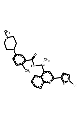 CCn1ccc(-c2cc([C@@H](C)NC(=O)c3cc(N4CCN(C)CC4)ccc3C)c3ccccc3n2)n1